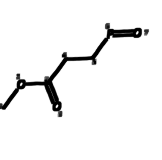 COC(=O)CCP=O